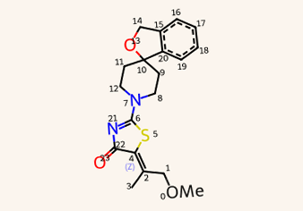 COC/C(C)=C1\SC(N2CCC3(CC2)OCc2ccccc23)=NC1=O